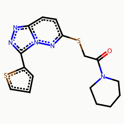 O=C(CSc1ccc2nnc(-c3cccs3)n2n1)N1CCCCC1